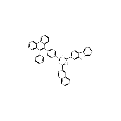 c1ccc(-c2c(-c3ccc(-c4nc(-c5ccc6ccccc6c5)nc(-c5ccc6c(c5)oc5ccccc56)n4)cc3)c3ccccc3c3ccccc23)cc1